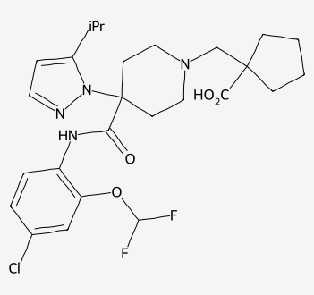 CC(C)c1ccnn1C1(C(=O)Nc2ccc(Cl)cc2OC(F)F)CCN(CC2(C(=O)O)CCCC2)CC1